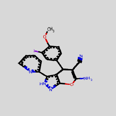 COc1ccc(C2C(C#N)=C(N)Oc3n[nH]c(-c4ccccn4)c32)cc1I